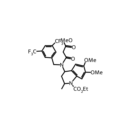 CCOC(=O)N1c2cc(OC)c(OC)cc2C(N(Cc2cc(C(F)(F)F)cc(C(F)(F)F)c2)C(=O)CC(=O)OC)CC1C